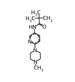 CN1CCN(c2ccc(NC(=O)C(C)(C)C)cn2)CC1